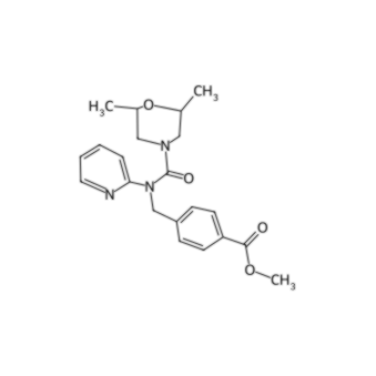 COC(=O)c1ccc(CN(C(=O)N2CC(C)OC(C)C2)c2ccccn2)cc1